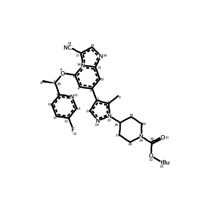 Cc1c(-c2cc(O[C@H](C)c3ccc(F)cn3)n3c(C#N)cnc3c2)cnn1C1CCN(C(=O)OC(C)(C)C)CC1